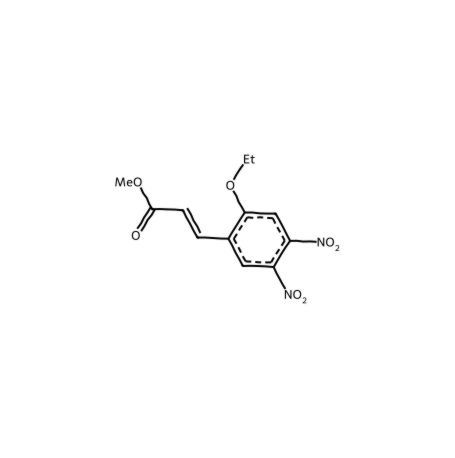 CCOc1cc([N+](=O)[O-])c([N+](=O)[O-])cc1/C=C/C(=O)OC